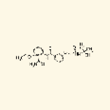 CCOc1cccc(NC(=O)c2cccc(OCC(=O)NC(C)(C)C)c2)c1C(N)=O